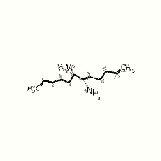 C=CCCC[C@H](N)[C@@H](N)CCCC=C